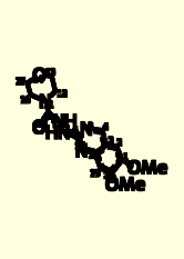 COc1cc2cnc(NNC(=O)N3CCOCC3)nc2cc1OC